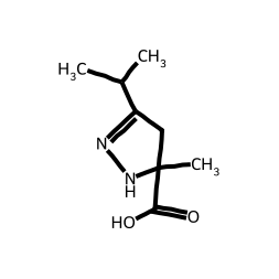 CC(C)C1=NNC(C)(C(=O)O)C1